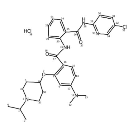 CC(C)N1CCC(Oc2cc(N(C)C)ccc2C(=O)Nc2ccccc2C(=O)Nc2ccc(Cl)cn2)CC1.Cl